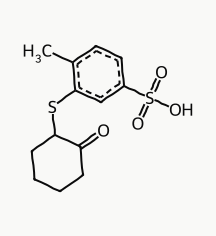 Cc1ccc(S(=O)(=O)O)cc1SC1CCCCC1=O